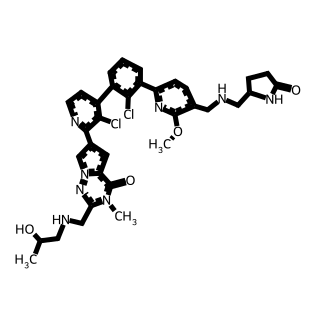 COc1nc(-c2cccc(-c3ccnc(-c4cc5c(=O)n(C)c(CNCC(C)O)nn5c4)c3Cl)c2Cl)ccc1CNCC1CCC(=O)N1